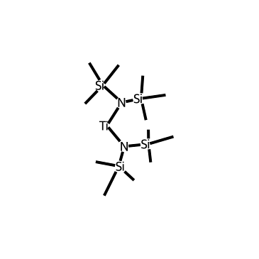 C[Si](C)(C)[N]([Ti][N]([Si](C)(C)C)[Si](C)(C)C)[Si](C)(C)C